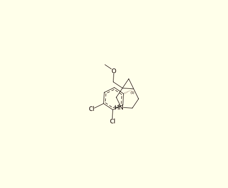 COCC12CNCC[C@]1(c1ccc(Cl)c(Cl)c1)C2